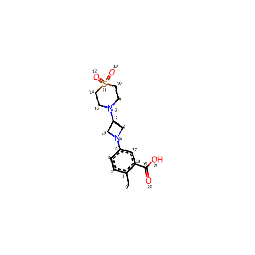 Cc1ccc(N2CC(N3CCS(=O)(=O)CC3)C2)cc1C(=O)O